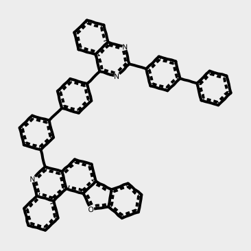 c1ccc(-c2ccc(-c3nc(-c4ccc(-c5cccc(-c6nc7ccccc7c7c6ccc6c8ccccc8oc67)c5)cc4)c4ccccc4n3)cc2)cc1